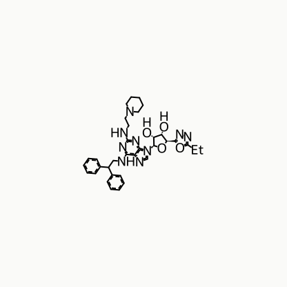 CCc1nnc([C@H]2O[C@@H](n3cnc4c(NCC(c5ccccc5)c5ccccc5)nc(NCCN5CCCCC5)nc43)[C@H](O)[C@@H]2O)o1